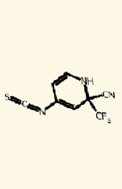 N#CC1(C(F)(F)F)C=C(N=C=S)C=CN1